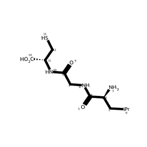 CC(C)C[C@H](N)C(=O)NCC(=O)N[C@@H](CS)C(=O)O